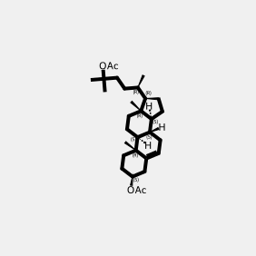 CC(=O)O[C@H]1CC[C@@]2(C)C(=CC[C@H]3[C@@H]4CC[C@H]([C@H](C)CCC(C)(C)OC(C)=O)[C@@]4(C)CC[C@@H]32)C1